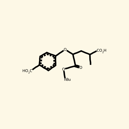 CCCCOC(=O)C(CC(C)C(=O)O)Oc1ccc(C(=O)O)cc1